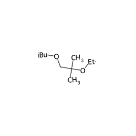 C[CH]OC(C)(C)COC(C)CC